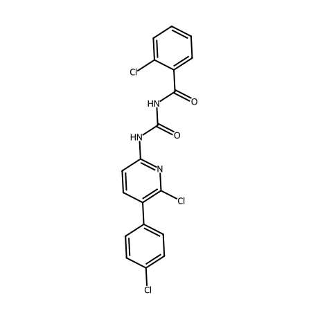 O=C(NC(=O)c1ccccc1Cl)Nc1ccc(-c2ccc(Cl)cc2)c(Cl)n1